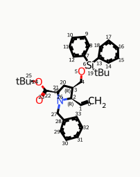 C=C[C@@H]1[C@H](CO[Si](c2ccccc2)(c2ccccc2)C(C)(C)C)C[C@H](C(=O)OC(C)(C)C)N1Cc1ccccc1